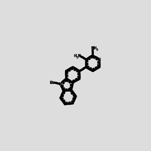 CCn1c2ccccc2c2cc(-c3ccnc(N)c3N)ccc21